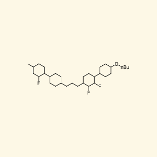 CCCCOC1CCC(C2CCC(CCCC3CCC(C4CCC(C)CC4F)CC3)C(F)C2F)CC1